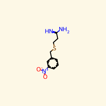 N=C(N)CCSCc1cccc([N+](=O)[O-])c1